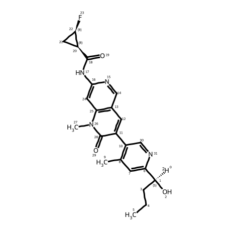 [2H][C@](O)(CCC)c1cc(C)c(-c2cc3cnc(NC(=O)[C@H]4C[C@H]4F)cc3n(C)c2=O)cn1